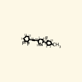 Cc1ccc(-c2ccc(C#Cc3cccc(F)c3F)cn2)c(F)c1